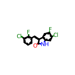 O=C1Nc2cc(Cl)c(F)cc2C1=Cc1cccc(Cl)c1F